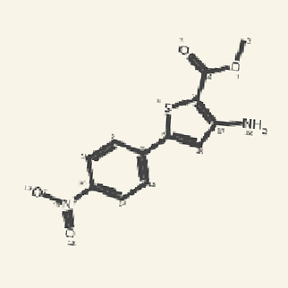 COC(=O)c1sc(-c2ccc([N+](=O)[O-])cc2)cc1N